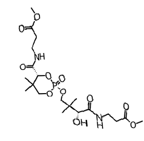 COC(=O)CCNC(=O)[C@H](O)C(C)(C)COP1(=O)OCC(C)(C)[C@H](C(=O)NCCC(=O)OC)O1